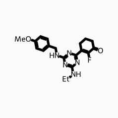 CCNc1nc(NCc2ccc(OC)cc2)nc(C2=C(F)C(=O)CCC2)n1